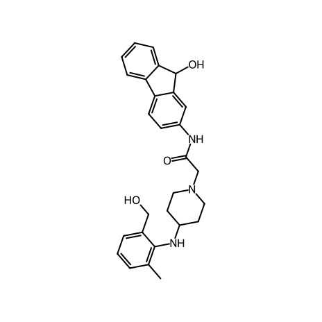 Cc1cccc(CO)c1NC1CCN(CC(=O)Nc2ccc3c(c2)C(O)c2ccccc2-3)CC1